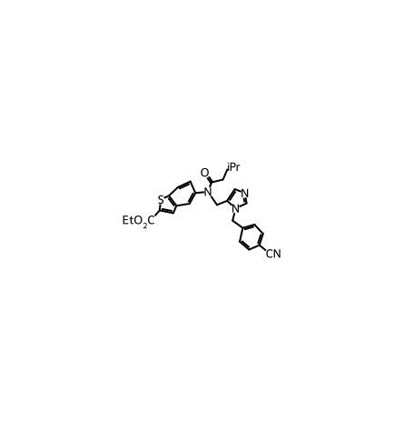 CCOC(=O)c1cc2cc(N(Cc3cncn3Cc3ccc(C#N)cc3)C(=O)CC(C)C)ccc2s1